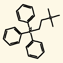 C[Si](C)(C)CC[PH](c1ccccc1)(c1ccccc1)c1ccccc1